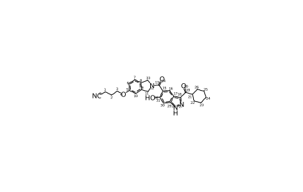 N#CCCCOc1ccc2c(c1)CN(C(=O)c1cc3c(C(=O)C4CCCCC4)n[nH]c3cc1O)C2